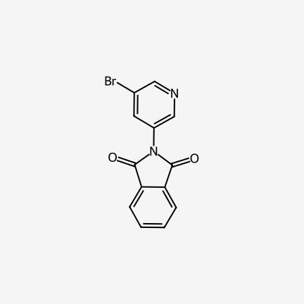 O=C1c2ccccc2C(=O)N1c1cncc(Br)c1